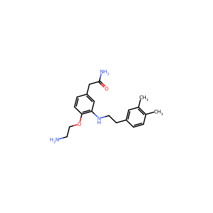 Cc1ccc(CCNc2cc(CC(N)=O)ccc2OCCN)cc1C